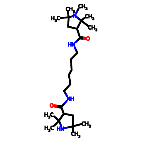 CN1C(C)(C)CC(C(=O)NCCCCCCNC(=O)C2CC(C)(C)NC2(C)C)C1(C)C